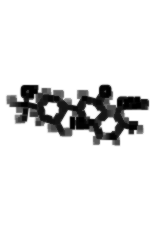 COc1c(F)ccc2[nH]c(-c3ccc(C(C)(C)C(F)(F)F)cc3C)cc(=O)c12